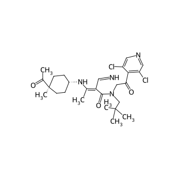 C/C(N[C@H]1CC[C@](C)(C(C)=O)CC1)=C(/C=N)C(=O)N(CC(=O)c1c(Cl)cncc1Cl)CC(C)(C)C